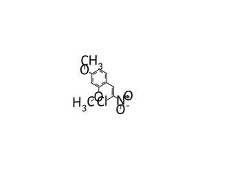 COc1ccc(C=C(Cl)[N+](=O)[O-])c(OC)c1